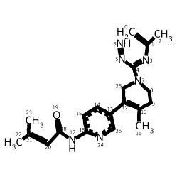 C=C(C)/N=C(\N=N)N1CCC(C)=C(c2ccc(NC(=O)C=C(C)C)nc2)C1